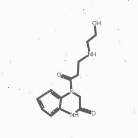 O=C1CN(C(=O)CCNCCO)c2ccccc2N1